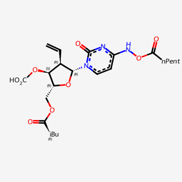 C=C[C@@H]1[C@H](OC(=O)O)[C@@H](COC(=O)[C@H](C)CC)O[C@H]1n1ccc(NOC(=O)CCCCC)nc1=O